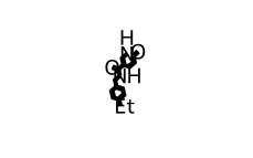 CCc1ccc(CNC(=O)c2ccc(=O)[nH]c2)cc1